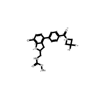 CC(C)(C)OC(=O)NCC1Cc2c(-c3ccc(C(=O)N4CC(F)(F)C4)cc3)ccc(Cl)c2O1